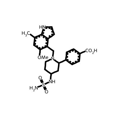 COc1cc(C)c2[nH]ccc2c1CN1CCC(NS(N)(=O)=O)CC1c1ccc(C(=O)O)cc1